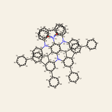 c1ccc(-c2ccc3c(c2)-c2cc(-c4ccccc4)cc4c2B3c2c3c(c(N(c5ccccc5)c5ccccc5)c(-n5c6ccccc6c6ccccc65)c2N(c2ccccc2)c2ccccc2)B2c5ccc(-c6ccccc6)cc5-c5cc(-c6ccccc6)cc(c52)N43)cc1